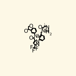 C[C@H](N)C(=O)NCc1cccc(-n2nc(C(F)(F)F)cc2C(=O)Nc2ccc3c(c2)C(=O)CO3)c1